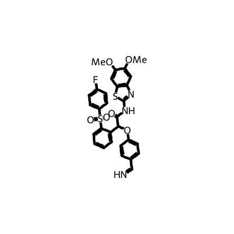 COc1cc2nc(NC(=O)C(Oc3ccc(C=N)cc3)c3ccccc3S(=O)(=O)c3ccc(F)cc3)sc2cc1OC